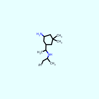 CC(C)CC(C)NC(C)C1CC(N)CC(C)(C)C1